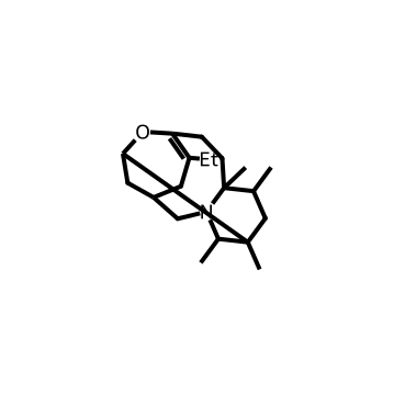 CCC1=C2CCC3(C)C(C)CC4(C)C(CC(C1)CN3C4C)O2